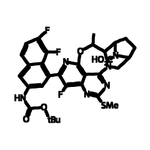 CSc1nc2c3c(nc(-c4cc(NC(=O)OC(C)(C)C)cc5ccc(F)c(F)c45)c(F)c3n1)OC(C)C1C3CCC(CN21)N3C(=O)O